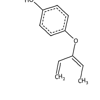 C=C/C(=C\C)Oc1ccc(O)cc1